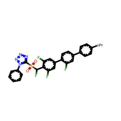 CCCc1ccc(-c2ccc(-c3cc(F)c(C(F)S(=O)(=O)c4nnnn4-c4ccccc4)c(F)c3)c(F)c2)cc1